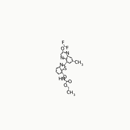 CCOC(=O)NOc1cccc2nc(-c3cc(C)cc4nc(OC(F)F)cnc34)sc12